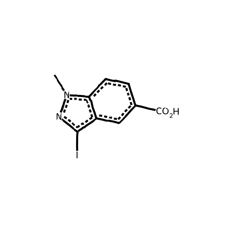 Cn1nc(I)c2cc(C(=O)O)ccc21